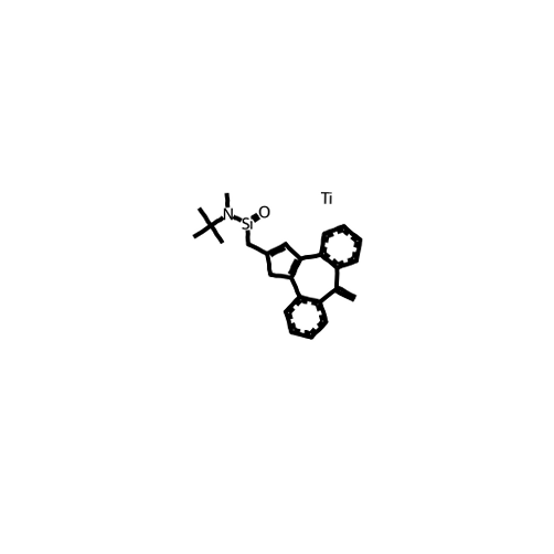 C=C1c2ccccc2C2=C(CC(C[Si](=O)N(C)C(C)(C)C)=C2)c2ccccc21.[Ti]